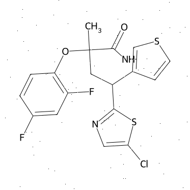 CC(CC(c1ccsc1)c1ncc(Cl)s1)(Oc1ccc(F)cc1F)C([NH])=O